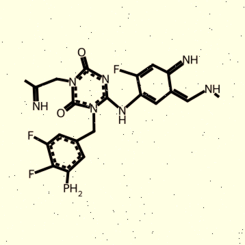 CN/C=C1/C=C(Nc2nc(=O)n(CC(C)=N)c(=O)n2Cc2cc(F)c(F)c(P)c2)C(F)=CC1=N